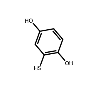 Oc1ccc(O)c(S)c1